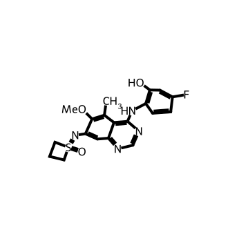 COc1c(N=S2(=O)CCC2)cc2ncnc(Nc3ccc(F)cc3O)c2c1C